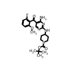 COc1cccc(F)c1C(=O)c1cnc(NC2CCN(C(=O)OC(C)(C)C)CC2)nc1N